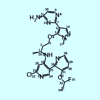 C[C@@H](CCOc1c(-c2nccc(N)n2)cnn1C)Nc1cc(Cl)ncc1-c1ncccc1OC(F)F